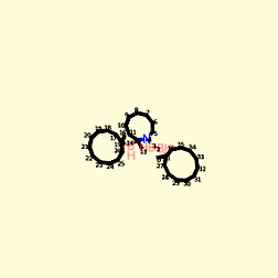 CC1(BBN2CCCCCCCC2(C)BC2(C)CCCCCCCCCC2)CCCCCCCCCC1